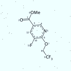 COC(=O)c1cnc(OCC(F)(F)F)c(F)c1